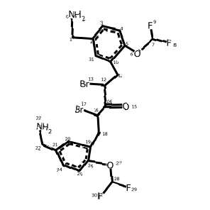 NCc1ccc(OC(F)F)c(CC(Br)C(=O)C(Br)Cc2cc(CN)ccc2OC(F)F)c1